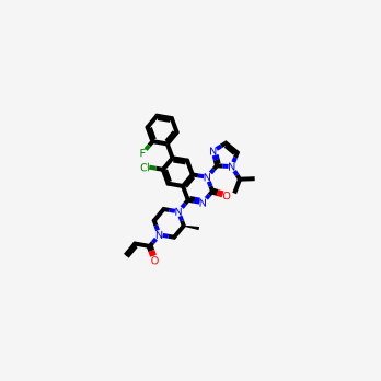 C=CC(=O)N1CCN(c2nc(=O)n(-c3nccn3C(C)C)c3cc(-c4ccccc4F)c(Cl)cc23)[C@@H](C)C1